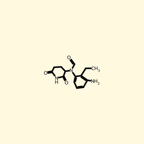 CCc1c(N)cccc1N(C=O)C1CCC(=O)NC1=O